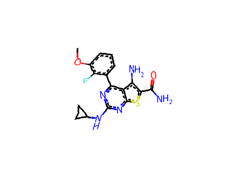 COc1cccc(-c2nc(NC3CC3)nc3sc(C(N)=O)c(N)c23)c1F